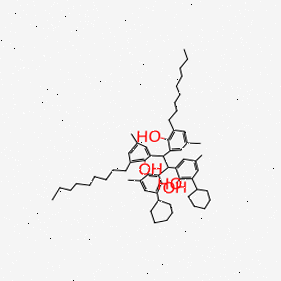 CCCCCCCCCc1cc(C)cc(C(c2cc(C)cc(CCCCCCCCC)c2O)C(c2cc(C)cc(C3CCCCC3)c2O)c2cc(C)cc(C3CCCCC3)c2O)c1O